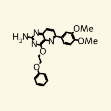 COc1ccc(-c2ccc3nc(N)nc(OCCOc4ccccc4)c3n2)cc1OC